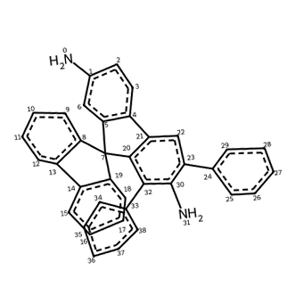 Nc1ccc2c(c1)C1(c3ccccc3-c3ccccc31)c1c-2cc(-c2ccccc2)c(N)c1-c1ccccc1